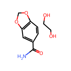 NC(=O)c1ccc2c(c1)OCO2.OCCO